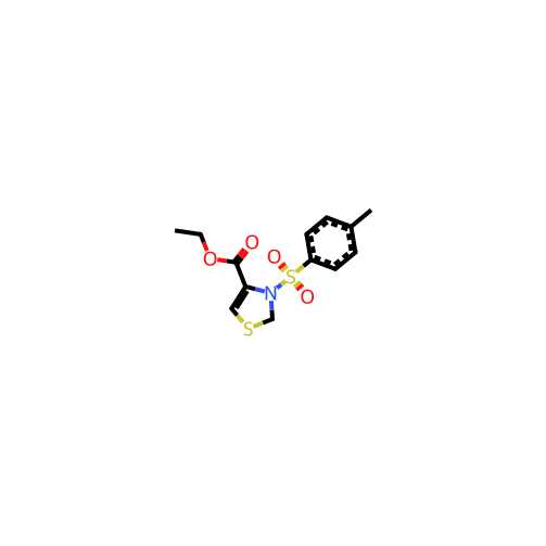 CCOC(=O)C1=CSCN1S(=O)(=O)c1ccc(C)cc1